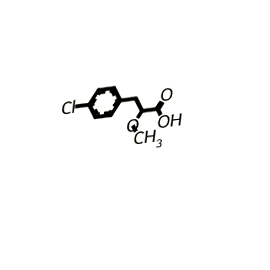 COC(Cc1ccc(Cl)cc1)C(=O)O